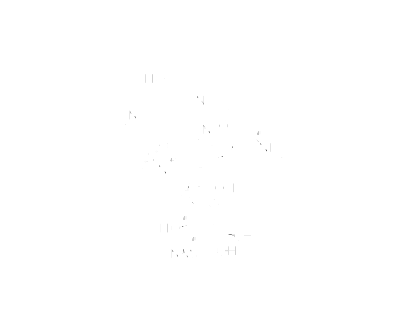 CN[C@@H]1[C@@H](O)[C@@H](O[C@@H]2[C@@H](O)[C@H](O[C@H]3OC(CNCCO)=CC[C@H]3N)[C@@H](N)C[C@H]2NS(=O)(=O)CCN)OC[C@]1(C)O